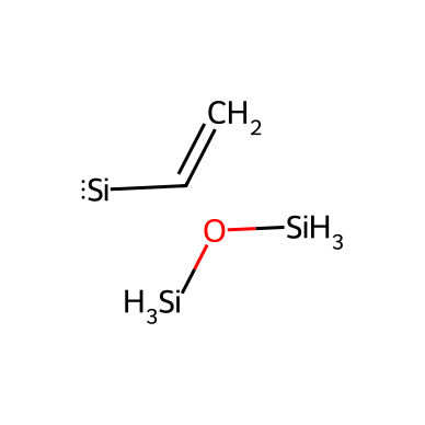 C=C[Si].[SiH3]O[SiH3]